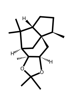 C[C@@H]1CC[C@H]2C(C)(C)[C@H]3C[C@@]12C[C@H]1OC(C)(C)O[C@@]31C